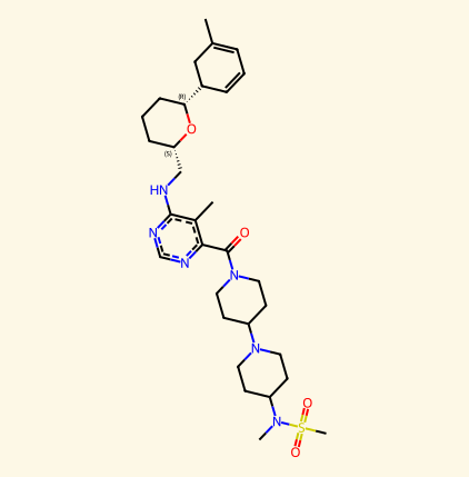 CC1=CC=CC([C@H]2CCC[C@@H](CNc3ncnc(C(=O)N4CCC(N5CCC(N(C)S(C)(=O)=O)CC5)CC4)c3C)O2)C1